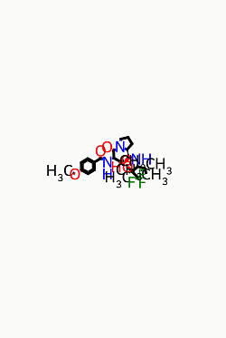 COc1ccc(C(=O)N[C@H](C(=O)N2CCC[C@H]2C(=O)N[C@@H](C(C)C)C(C)(O)C(F)(F)F)C(C)C)cc1